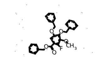 COc1c(F)c(C(=O)OCc2ccccc2)cc(OCc2ccccc2)c1OCc1ccccc1